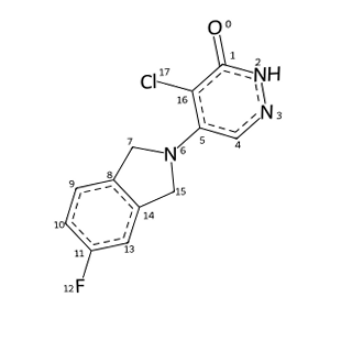 O=c1[nH]ncc(N2Cc3ccc(F)cc3C2)c1Cl